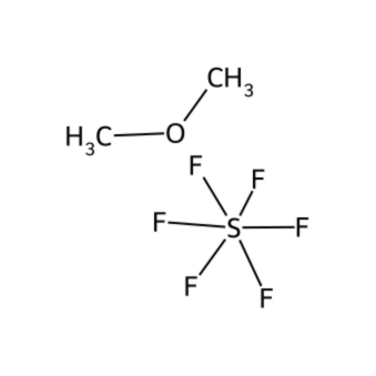 COC.FS(F)(F)(F)(F)F